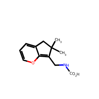 CC1(C)CC2=CC=COC2=C1CNC(=O)O